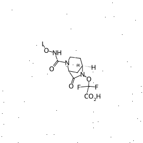 O=C(NOI)N1CC[C@@H]2CC1C(=O)N2OC(F)(F)C(=O)O